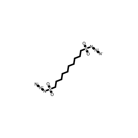 [N-]=[N+]=NS(=O)(=O)CCCCCCCCCCS(=O)(=O)N=[N+]=[N-]